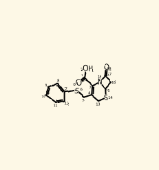 O=C(O)C1=C(CSc2ccccc2)CSC2CC(=O)N12